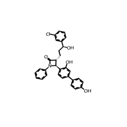 O=C1[C@H](CC[C@H](O)c2cccc(Cl)c2)[C@@H](c2ccc(-c3ccc(O)cc3)cc2O)N1c1ccccc1